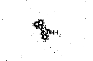 NCCCCN(Cc1cc2ccccc2[nH]1)[C@H]1CCCc2cccnc21